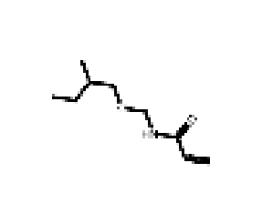 C=CC(=O)NCOCC(C)CC